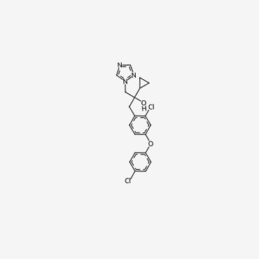 OC(Cc1ccc(Oc2ccc(Cl)cc2)cc1Cl)(Cn1cncn1)C1CC1